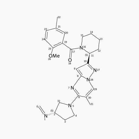 C=N[C@H]1CCN(c2nc3cc([C@@H]4CCCCN4C(=O)c4cc(C)ccc4OC)nn3cc2C)C1